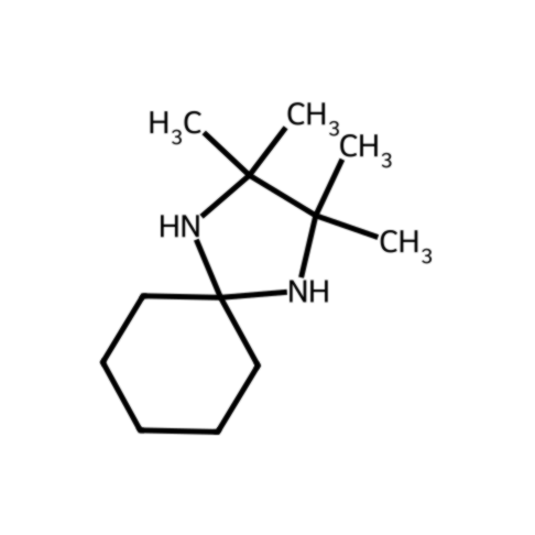 CC1(C)NC2(CCCCC2)NC1(C)C